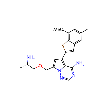 COc1cc(C)cc2cc(-c3cc(COC[C@H](C)N)n4ncnc(N)c34)sc12